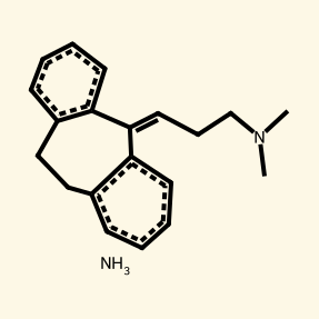 CN(C)CCC=C1c2ccccc2CCc2ccccc21.N